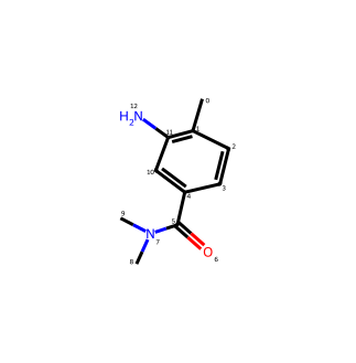 Cc1ccc(C(=O)N(C)C)cc1N